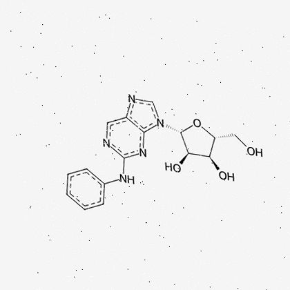 OC[C@H]1O[C@@H](n2cnc3cnc(Nc4ccccc4)nc32)[C@H](O)[C@@H]1O